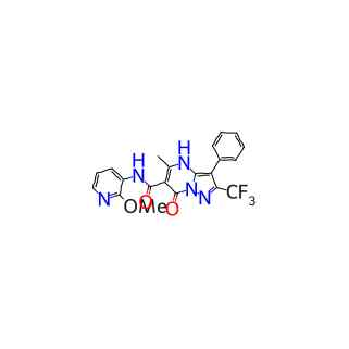 COc1ncccc1NC(=O)c1c(C)[nH]c2c(-c3ccccc3)c(C(F)(F)F)nn2c1=O